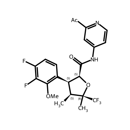 COc1c([C@H]2[C@@H](C(=O)Nc3ccnc(C(C)=O)c3)O[C@@](C)(C(F)(F)F)[C@H]2C)ccc(F)c1F